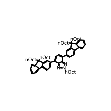 CCCCCCCCn1nc2c(-c3ccc4c(c3)C(CCCCCCCC)(CCCCCCCC)c3ccccc3-4)ccc(-c3ccc4c(c3)C(CCCCCCCC)(CCCCCCCC)c3ccccc3-4)c2n1